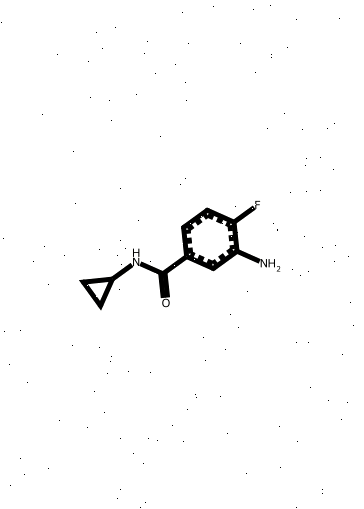 Nc1cc(C(=O)NC2CC2)ccc1F